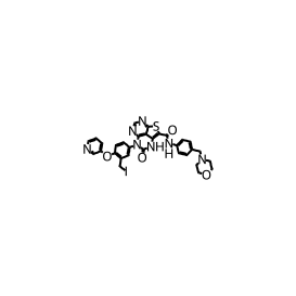 O=C(Nc1ccc(CN2CCOCC2)cc1)c1sc2ncnc3c2c1NC(=O)N3c1ccc(Oc2cccnc2)c(CI)c1